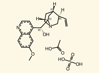 C=C[C@H]1CN2CC[C@H]1C[C@H]2[C@H](O)c1ccnc2ccc(OC)cc12.CC(=O)O.O=S(=O)(O)O